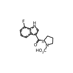 O=C(c1c[nH]c2c(F)cccc12)[C@H]1CCCN1C(=O)O